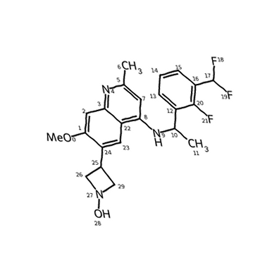 COc1cc2nc(C)cc(NC(C)c3cccc(C(F)F)c3F)c2cc1C1CN(O)C1